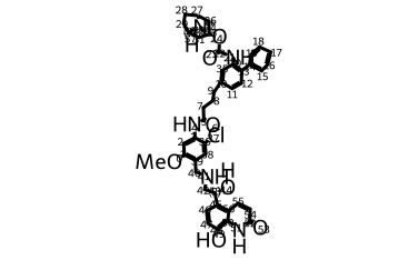 COc1cc(NC(=O)CCCc2ccc(-c3ccccc3)c(NC(=O)OC3CC4CC[C@H](C3)[N+]4(C)C)c2)c(Cl)cc1CNC[C@H](O)c1ccc(O)c2[nH]c(=O)ccc12